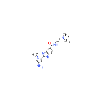 CN(C)CCCNC(=O)c1ccc2[nH]c(-c3cc(N)cn3C)nc2c1